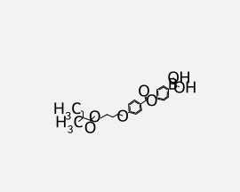 CCC(C)C(=O)OCCCCOc1ccc(C(=O)Oc2ccc(B(O)O)cc2)cc1